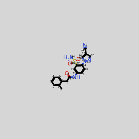 Cc1ccccc1CC(=O)Nc1ccc(-n2cc(C#N)cn2)c(S(N)(=O)=O)c1